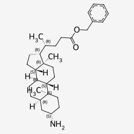 C[C@H](CCC(=O)OCc1ccccc1)[C@H]1CC[C@H]2[C@@H]3CC[C@@H]4C[C@@H](N)CC[C@]4(C)[C@H]3CC[C@]12C